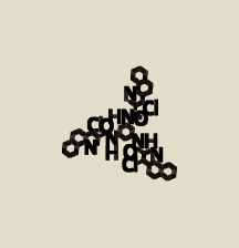 O=C(Nc1cc(NC(=O)c2cnc3c(ccc4ccccc43)c2Cl)cc(NC(=O)c2cnc3c(ccc4ccccc43)c2Cl)c1)c1cnc2c(ccc3ccccc32)c1Cl